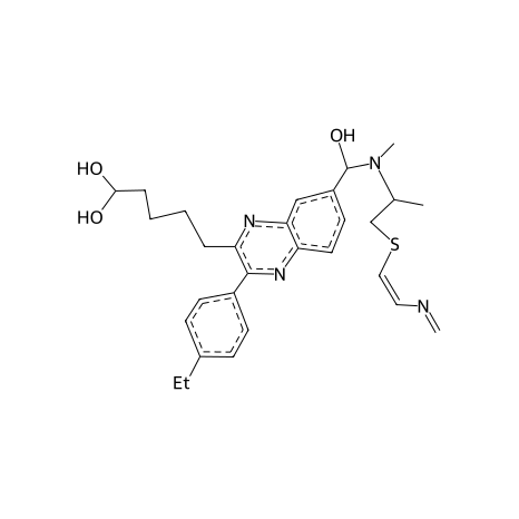 C=N/C=C\SCC(C)N(C)C(O)c1ccc2nc(-c3ccc(CC)cc3)c(CCCCC(O)O)nc2c1